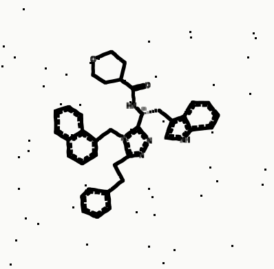 O=C(N[C@H](Cc1c[nH]c2ccccc12)c1nnc(CCc2ccccc2)n1Cc1cccc2ccccc12)C1CCOCC1